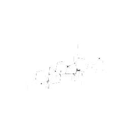 CC(=O)O[C@H]([C@H]1C[C@@H](C)[C@H]2[C@@H](O1)[C@H](O)[C@@]1(C)[C@@H]3CC[C@H]4C(C)(C)[C@@H](O)CC[C@@]45CC35CC[C@]21C)C(C)(C)O